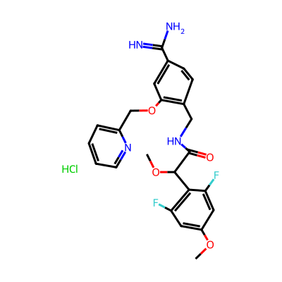 COc1cc(F)c(C(OC)C(=O)NCc2ccc(C(=N)N)cc2OCc2ccccn2)c(F)c1.Cl